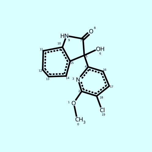 COc1nc(C2(O)C(=O)Nc3ccccc32)ccc1Cl